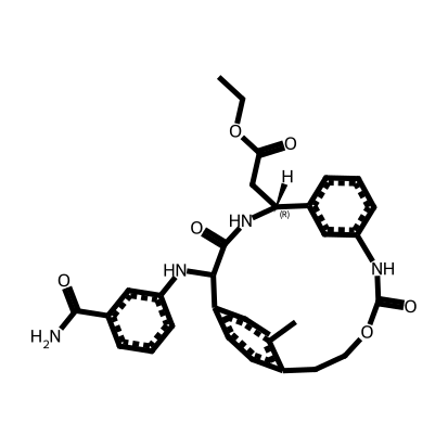 CCOC(=O)C[C@H]1NC(=O)C(Nc2cccc(C(N)=O)c2)c2ccc(c(C)c2)CCOC(=O)Nc2cccc1c2